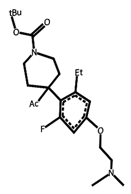 CCc1cc(OCCN(C)C)cc(F)c1C1(C(C)=O)CCN(C(=O)OC(C)(C)C)CC1